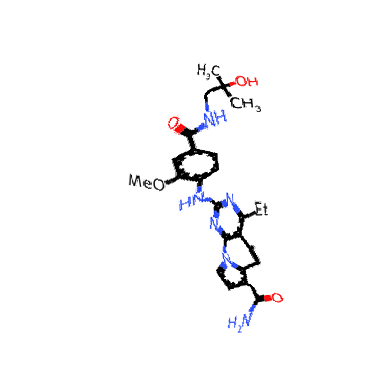 CCc1nc(Nc2ccc(C(=O)NCC(C)(C)O)cc2OC)nc2c1CCc1c(C(N)=O)ccn1-2